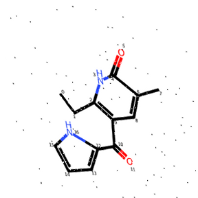 CCc1[nH]c(=O)c(C)cc1C(=O)c1ccc[nH]1